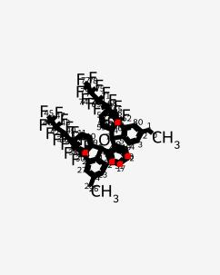 CCc1ccc(C(OC(c2ccccc2)(c2ccccc2)c2ccc(CC)cc2C(F)(F)C(F)(F)C(F)(F)C(F)(F)C(F)(F)C(F)(F)F)(c2ccccc2)c2ccccc2)c(C(F)(F)C(F)(F)C(F)(F)C(F)(F)C(F)(F)C(F)(F)F)c1